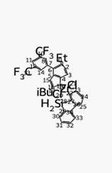 CCc1ccc2c(c1-c1cc(C(F)(F)F)cc(C(F)(F)F)c1)C=C(C(C)CC)[CH]2[Zr]([Cl])([Cl])[c]1cccc2c1[SiH2]c1ccccc1-2